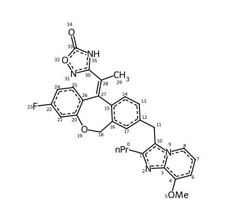 CCCc1nc2c(OC)cccn2c1Cc1ccc2c(c1)COc1cc(F)ccc1C2=C(C)c1noc(=O)[nH]1